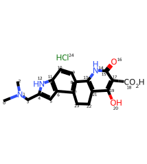 CN(C)Cc1cc2c3c(ccc2[nH]1)-c1[nH]c(=O)c(C(=O)O)c(O)c1CC3.Cl